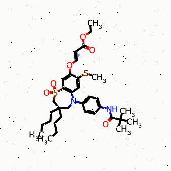 CCCCC1(CCCC)CN(c2ccc(NC(=O)C(C)(C)C)cc2)c2cc(SC)c(O/C=C/C(=O)OCC)cc2S(=O)(=O)C1